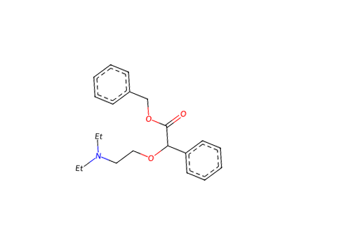 CCN(CC)CCOC(C(=O)OCc1ccccc1)c1ccccc1